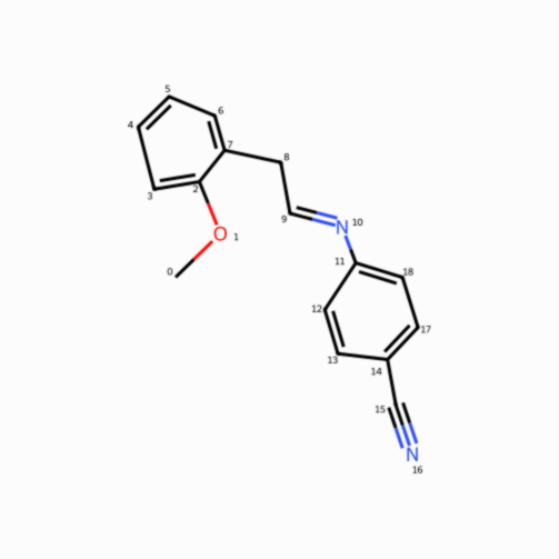 COc1ccccc1CC=Nc1ccc(C#N)cc1